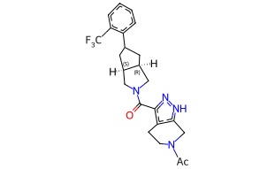 CC(=O)N1CCc2c(C(=O)N3C[C@H]4CC(c5ccccc5C(F)(F)F)C[C@H]4C3)n[nH]c2C1